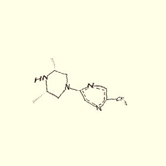 C[C@@H]1CN(c2cnc(C(F)(F)F)cn2)C[C@H](C)N1